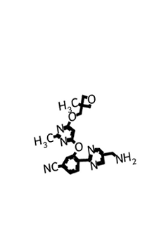 Cc1nc(OCC2(C)COC2)cc(Oc2cc(C#N)ccc2-c2ncc(CN)cn2)n1